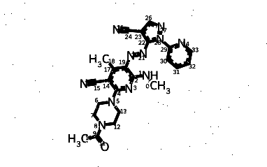 CNc1nc(N2CCN(C(C)=O)CC2)c(C#N)c(C)c1/N=N/c1c(C#N)cnn1-c1ccccn1